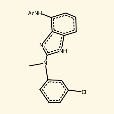 CC(=O)Nc1cccc2[nH]c(N(C)c3cccc(Cl)c3)nc12